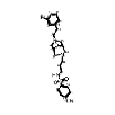 N#Cc1ccc(S(=O)(=O)NCCCN2CC3CN(CCc4cccc(F)c4)CC(C2)O3)cc1